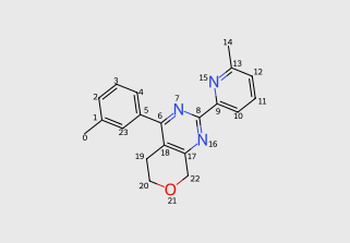 Cc1cccc(-c2nc(-c3cccc(C)n3)nc3c2CCOC3)c1